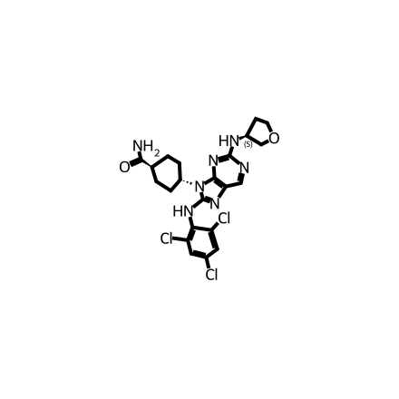 NC(=O)[C@H]1CC[C@H](n2c(Nc3c(Cl)cc(Cl)cc3Cl)nc3cnc(N[C@H]4CCOC4)nc32)CC1